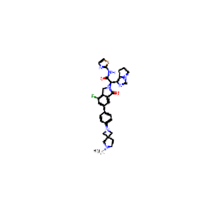 O=C(Nc1nccs1)C(c1ncn2c1CCC2)N1Cc2c(F)cc(-c3ccc(N4CC5(CCN(C(=O)O)C5)C4)cc3)cc2C1=O